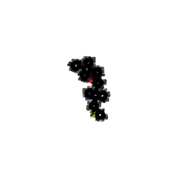 C1=c2sc3ccccc3c2=CC(c2c3ccccc3c(-c3ccc4c(c3)oc3c(-c5c6ccccc6c(-c6ccccc6)c6ccccc56)cccc34)c3ccccc23)C1